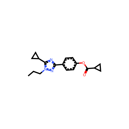 CCCn1nc(-c2ccc(OC(=O)C3CC3)cc2)nc1C1CC1